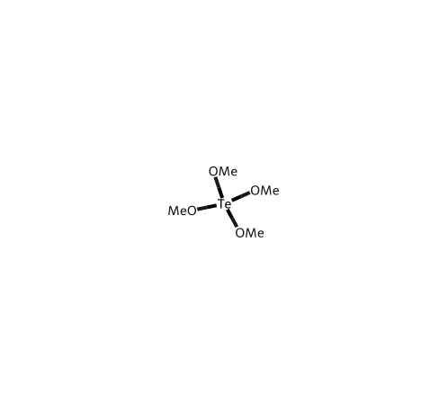 CO[Te](OC)(OC)OC